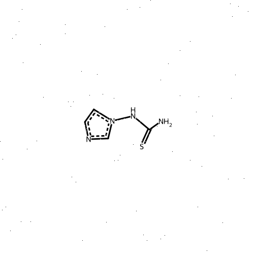 NC(=S)Nn1ccnc1